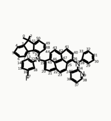 CC1(C)c2ccccc2-c2c(N(c3cccc(F)c3)c3ccc4ccc5c(N(c6ccccc6)c6ccccn6)ccc6ccc3c4c65)cccc21